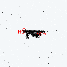 CC/C=C/C/C=C/C/C=C/C/C=C/C/C=C/C/C=C/CCC(=O)O.CC/C=C\C/C=C\C/C=C\C/C=C\C/C=C\C/C=C\CCC(=O)O